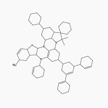 CC(C)(C)C1C=CC2SC3B4C5=C(CC(C6CC(C7=CCCCC7)=CC(C7C=CCCC7)C6)CC5N5C6C4CC(C4CCCCC4)CC6C4(CCCCC4)C5(C)C)N(C4C=CCCC4)C3C2C1